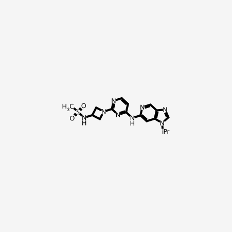 CC(C)n1cnc2cnc(Nc3ccnc(N4CC(NS(C)(=O)=O)C4)n3)cc21